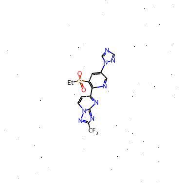 CCS(=O)(=O)c1cc(-n2cncn2)cnc1-c1ccn2nc(C(F)(F)F)nc2n1